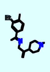 C=C(C/N=C(\C)c1ccc(C)c(CC)c1)C1CCN(C)CC1